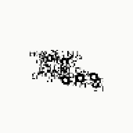 Cc1c(N=Nc2cc(Nc3nc(Cl)nc(NC(C)CNc4ccc5c(c4S(=O)(=O)O)Oc4c(Cl)c6c(c(Cl)c4=N5)Oc4c(ccc(F)c4S(=O)(=O)O)N=6)n3)c(S(=O)(=O)O)cc2S(=O)(=O)O)c(O)[nH]c(=O)c1C(N)=O